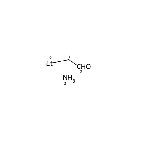 CCCC=O.N